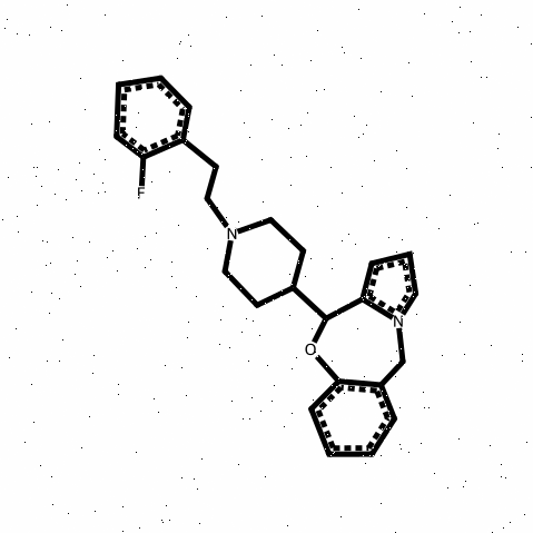 Fc1ccccc1CCN1CCC(C2Oc3ccccc3Cn3cccc32)CC1